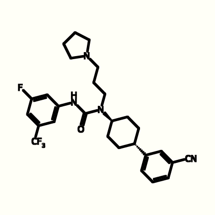 N#Cc1cccc([C@H]2CC[C@H](N(CCCN3CCCC3)C(=O)Nc3cc(F)cc(C(F)(F)F)c3)CC2)c1